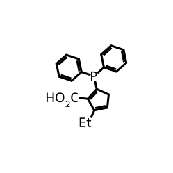 CCC1=CCC(P(c2ccccc2)c2ccccc2)=C1C(=O)O